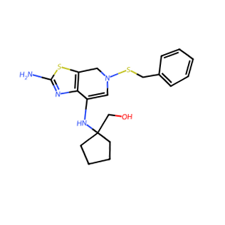 Nc1nc2c(s1)CN(SCc1ccccc1)C=C2NC1(CO)CCCC1